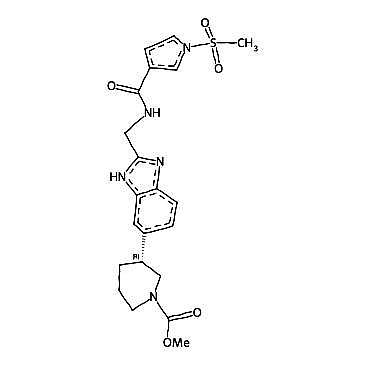 COC(=O)N1CCC[C@H](c2ccc3nc(CNC(=O)c4ccn(S(C)(=O)=O)c4)[nH]c3c2)C1